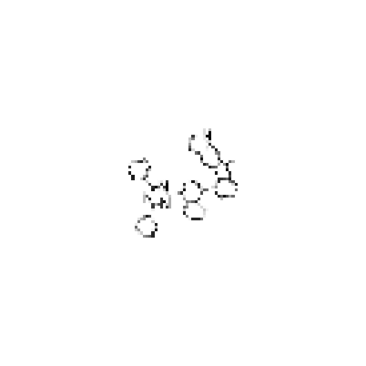 c1ccc(-c2nc(-c3ccccc3)nc(-c3ccc(-c4cccc5oc6cc7ncccc7cc6c45)c4ccccc34)n2)cc1